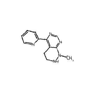 CN1NCCc2c(-c3ccccn3)ncnc21